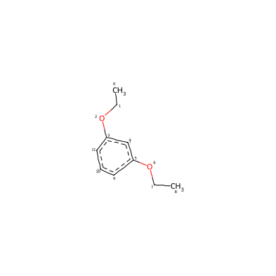 CCOc1[c]c(OCC)c[c]c1